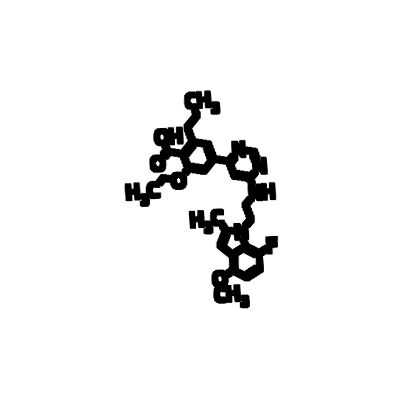 CCCc1cc(-c2cc(NCCn3c(C)cc4c(OC)ccc(F)c43)ncn2)cc(OCC)c1C(=O)O